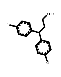 O=CCCC(c1ccc(Cl)cc1)c1ccc(Cl)cc1